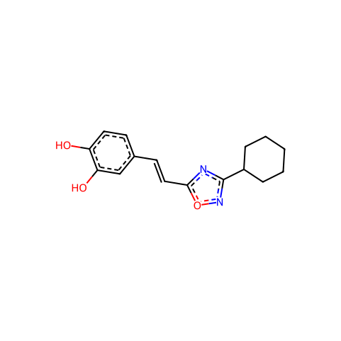 Oc1ccc(C=Cc2nc(C3CCCCC3)no2)cc1O